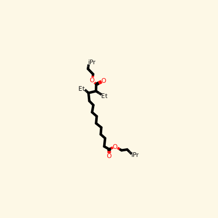 CCC(CCCCCCCCCC(=O)OCCC(C)C)C(CC)C(=O)OCCC(C)C